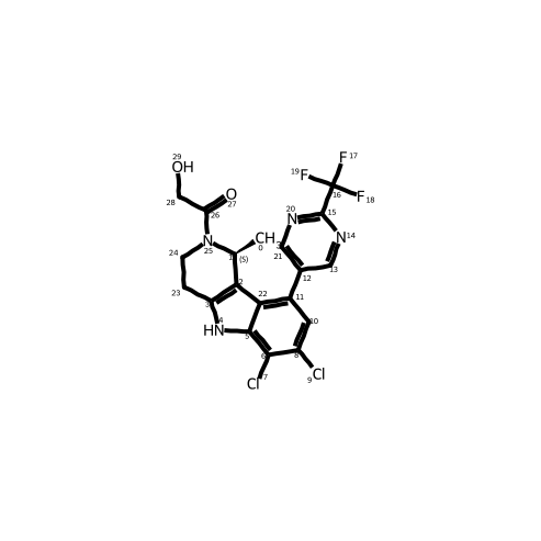 C[C@H]1c2c([nH]c3c(Cl)c(Cl)cc(-c4cnc(C(F)(F)F)nc4)c23)CCN1C(=O)CO